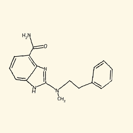 CN(CCc1ccccc1)c1nc2c(C(N)=O)cccc2[nH]1